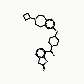 O=C1Cc2cccc(C(=O)N3CCC(Oc4ccc5c(c4)CCN(C4CCC4)CC5)CC3)c2O1